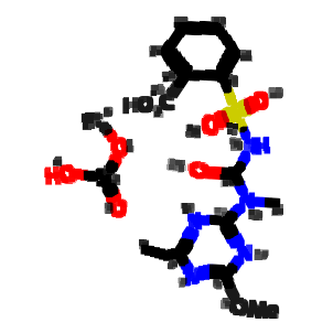 CCO[Si](=O)O.COc1nc(C)nc(N(C)C(=O)NS(=O)(=O)c2ccccc2C(=O)O)n1